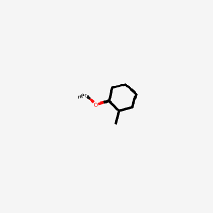 CCCOC1C[CH]CCC1C